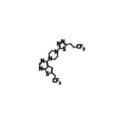 FC(F)(F)CCc1nnc(N2CCN(c3ncnc4sc(CC(F)(F)F)cc34)CC2)s1